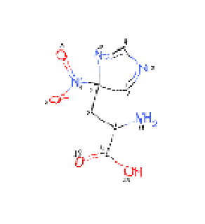 NC(CC1([N+](=O)[O-])C=NC=N1)C(=O)O